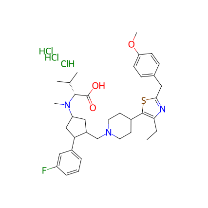 CCc1nc(Cc2ccc(OC)cc2)sc1C1CCN(CC2CC(N(C)[C@@H](C(=O)O)C(C)C)CC2c2cccc(F)c2)CC1.Cl.Cl.Cl